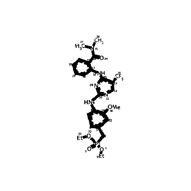 CCOP(=O)(Cc1ccc(Nc2ncc(C(F)(F)F)c(Nc3ccccc3C(=O)N(C)C)n2)c(OC)c1)OCC